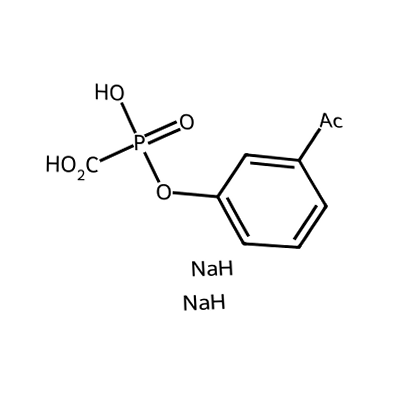 CC(=O)c1cccc(OP(=O)(O)C(=O)O)c1.[NaH].[NaH]